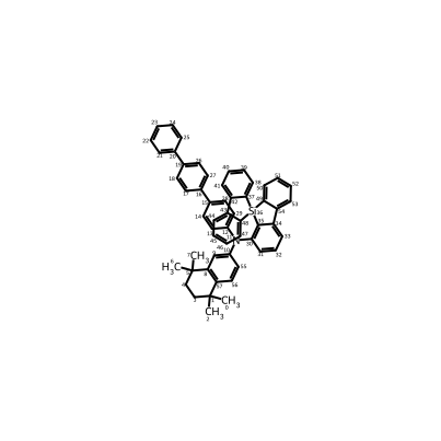 CC1(C)CCC(C)(C)c2cc(N(c3ccc(-c4ccc(-c5ccccc5)cc4)cc3)c3cccc4c3[Si]3(c5ccccc5-c5ccccc53)c3ccccc3-4)ccc21